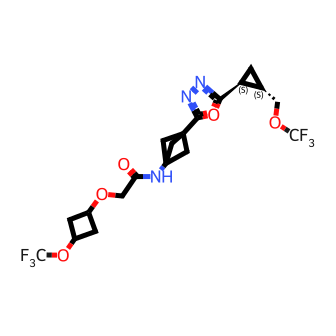 O=C(COC1CC(OC(F)(F)F)C1)NC12CC(c3nnc([C@H]4C[C@@H]4COC(F)(F)F)o3)(C1)C2